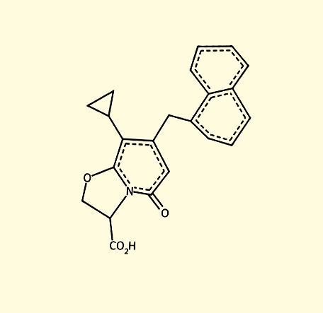 O=C(O)C1COc2c(C3CC3)c(Cc3cccc4ccccc34)cc(=O)n21